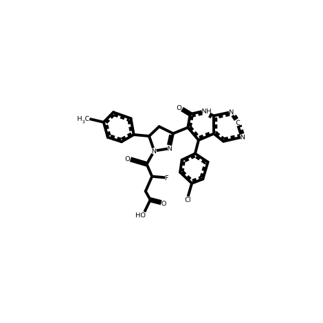 Cc1ccc(C2CC(c3c(-c4ccc(Cl)cc4)c4cncnc4[nH]c3=O)=NN2C(=O)C(F)CC(=O)O)cc1